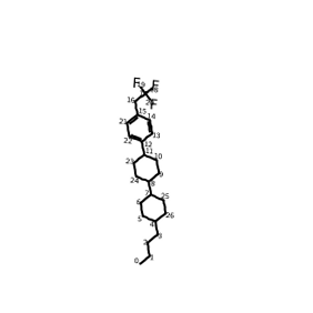 CCCCC1CCC(C2CCC(c3ccc(CC(F)(F)F)cc3)CC2)CC1